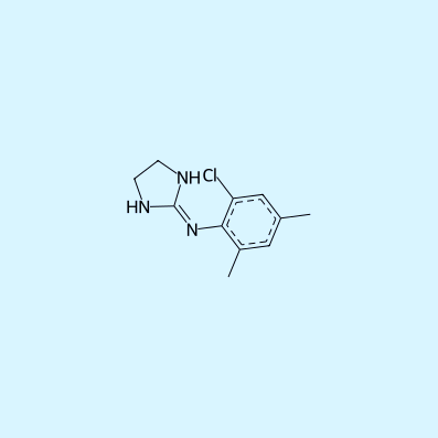 Cc1cc(C)c(N=C2NCCN2)c(Cl)c1